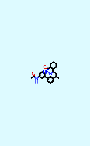 CC(=O)Nc1cccc(-c2cccc(C(C)Cc3n[nH]c(=O)c4c3CCCC4)c2)c1